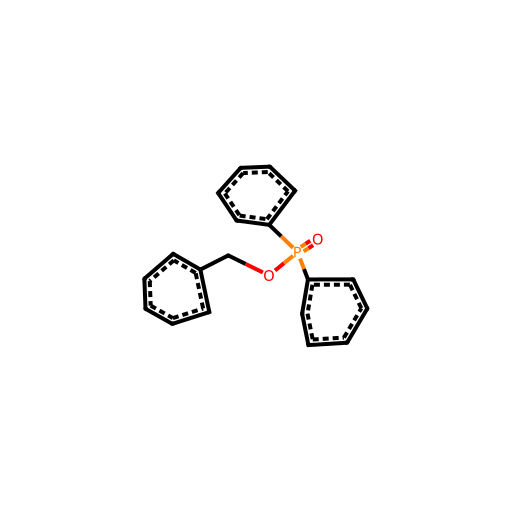 O=P(OCc1ccccc1)(c1ccccc1)c1ccccc1